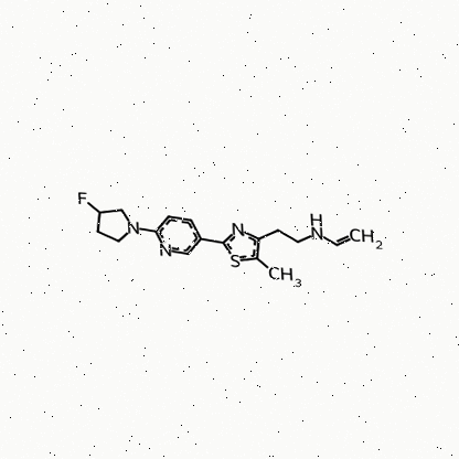 C=CNCCc1nc(-c2ccc(N3CCC(F)C3)nc2)sc1C